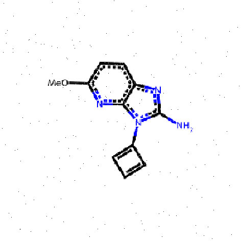 COc1ccc2nc(N)n(C3=CC=C3)c2n1